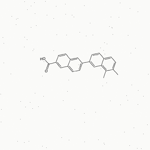 Cc1ccc2ccc(-c3ccc4cc(C(=O)O)ccc4c3)cc2c1C